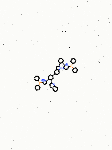 c1ccc(P(c2ccccc2)c2cccc(-c3ccccc3-c3cc4cc(-c5ccc(-c6ccc(P(c7ccccc7)c7ccccc7)[nH]6)c(-c6ccc7ccccc7n6)c5)ccc4[nH]3)n2)cc1